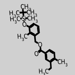 CCc1cc(C(=O)OCc2cccc(O[Si](C)(C)C(C)(C)C)c2C)ccc1C